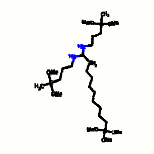 CO[Si](C)(CCCNC(NCCC[Si](C)(OC)OC)[SiH2]CCCCCCCC[Si](OC)(OC)OC)OC